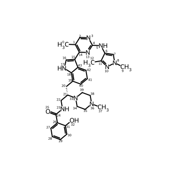 Cc1cnc(Nc2cn(C)nc2C)nc1-c1c[nH]c2c(C[C@@H](CNC(=O)c3ccccc3O)N3CCN(C)CC3)cccc12